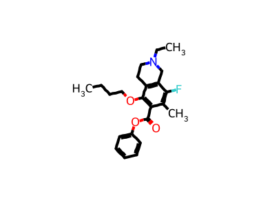 CCCCOc1c2c(c(F)c(C)c1C(=O)Oc1ccccc1)CN(CC)CC2